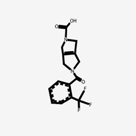 O=C(O)N1CC2=C(C1)CN(C(=O)c1ccccc1C(F)(F)F)C2